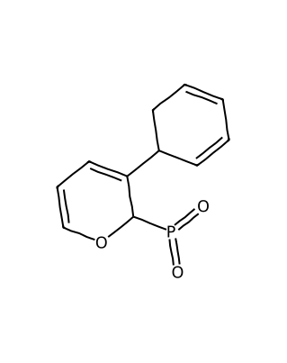 O=P(=O)C1OC=CC=C1C1C=CC=CC1